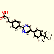 CC(C)(C)c1ccc(-c2cnc(-c3ccc(CCC(=O)O)cc3)nc2)cc1